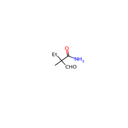 CCC(C)(C=O)C(N)=O